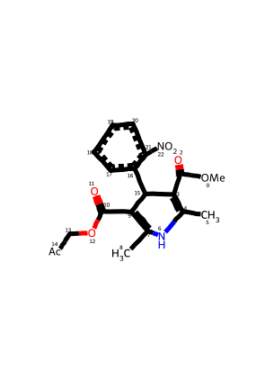 COC(=O)C1=C(C)NC(C)=C(C(=O)OCC(C)=O)C1c1ccccc1[N+](=O)[O-]